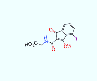 O=C(O)CNC(=O)C1=C(O)c2c(I)cccc2C1=O